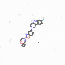 Fc1ccc2c3c([nH]c2c1)CCN(c1ccc2oc(N4CCOC5(CCC5)C4)nc2c1)C3